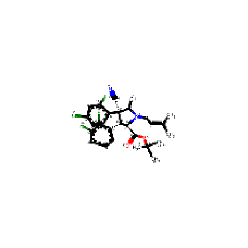 CC(C)=CCN1C(C)[C@](C#N)(c2ccc(Cl)cc2F)[C@@H](c2cccc(Cl)c2F)[C@@H]1C(=O)OC(C)(C)C